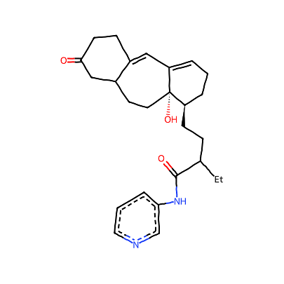 CCC(CC[C@@H]1CCC=C2C=C3CCC(=O)CC3CC[C@@]21O)C(=O)Nc1cccnc1